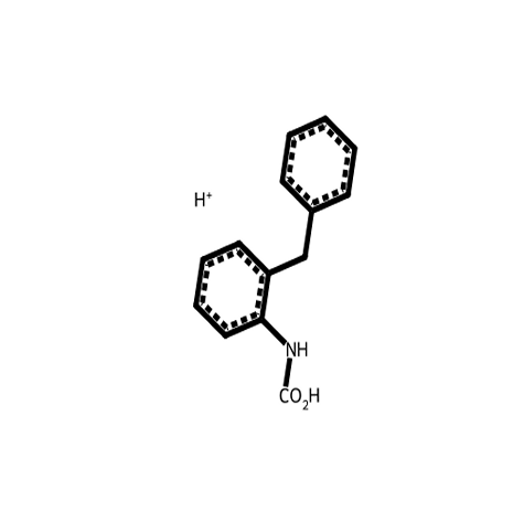 O=C(O)Nc1ccccc1Cc1ccccc1.[H+]